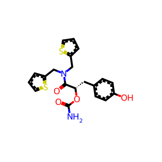 NC(=O)O[C@@H](Cc1ccc(O)cc1)C(=O)N(Cc1cccs1)Cc1cccs1